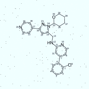 Clc1ccccc1-c1ccnc(NCc2cc(-c3ccncc3)nn2C2CCCCO2)c1